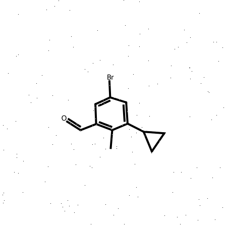 Cc1c(C=O)cc(Br)cc1C1CC1